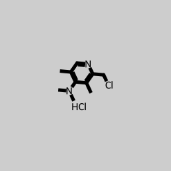 Cc1cnc(CCl)c(C)c1N(C)C.Cl